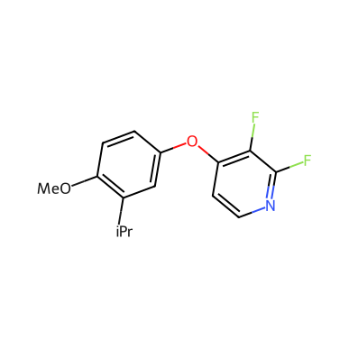 COc1ccc(Oc2ccnc(F)c2F)cc1C(C)C